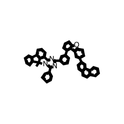 CC1(C)c2ccccc2-c2cccc(-c3nc(-c4ccccc4)nc(-c4cccc(-c5cccc6oc7ccc(-c8ccc9ccc%10ccccc%10c9c8)cc7c56)c4)n3)c21